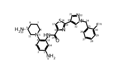 Nc1ccc(N2CCC[C@@H](N)C2)c(NC(=O)c2csc(-c3cnn(Cc4ccccc4F)c3)n2)c1